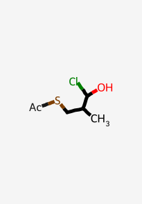 CC(=O)SCC(C)C(O)Cl